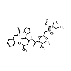 CC[C@H](C)[C@@H](N=O)[C@@H](O)CC(=O)N[C@H](C(=O)N[C@@H](CC(C)C)C(=O)N1CCC[C@H]1C(=O)OCc1ccccc1)C(C)C